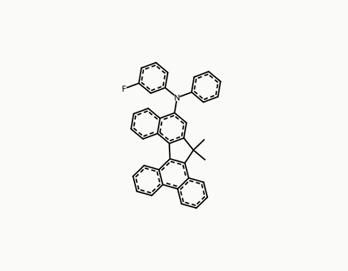 CC1(C)c2cc(N(c3ccccc3)c3cccc(F)c3)c3ccccc3c2-c2c1c1ccccc1c1ccccc21